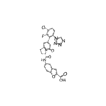 O=C(O)c1cc2cc(NC(=O)[C@@H]3CCc4cc(-c5c(-n6cnnn6)ccc(Cl)c5F)cc(=O)n43)ccc2o1